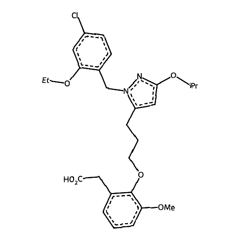 CCOc1cc(Cl)ccc1Cn1nc(OC(C)C)cc1CCCOc1c(CC(=O)O)cccc1OC